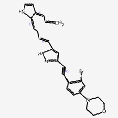 C=C/C=c1/cc[nH]/c1=C/C/C=C/c1cc(/C=C/c2ccc(N3CCOCC3)cc2Br)n[nH]1